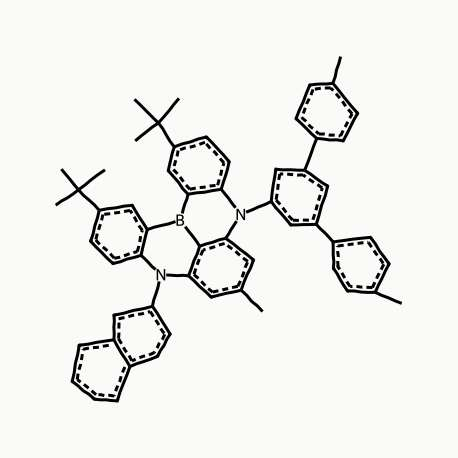 Cc1ccc(-c2cc(-c3ccc(C)cc3)cc(N3c4ccc(C(C)(C)C)cc4B4c5cc(C(C)(C)C)ccc5N(c5ccc6ccccc6c5)c5cc(C)cc3c54)c2)cc1